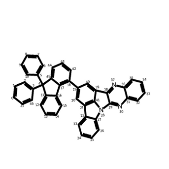 c1ccc(C2(c3ccccc3)c3ccccc3-c3c(-c4cc5c6ccccc6n6c7nc8ccccc8nc7c(c4)c56)cccc32)cc1